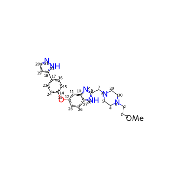 COCCN1CCN(Cc2nc3cc(Oc4ccc(-c5ccn[nH]5)cc4)ccc3[nH]2)CC1